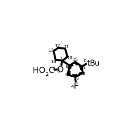 CC(C)(C)c1cc(F)cc(C2(OC(=O)O)CCCCC2)c1